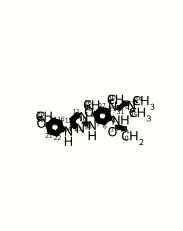 C=CC(=O)Nc1cc(Nc2nccc(Nc3ccc(OC)cc3)n2)c(OC)cc1N(C)CCN(C)C